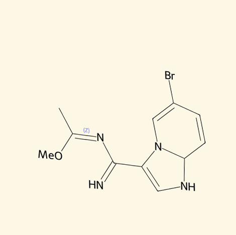 CO/C(C)=N\C(=N)C1=CNC2C=CC(Br)=CN12